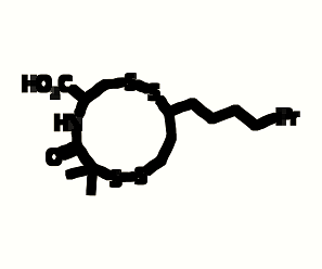 CC(C)CCCCC1CCSSC(C)(C)C(=O)NC(C(=O)O)CSS1